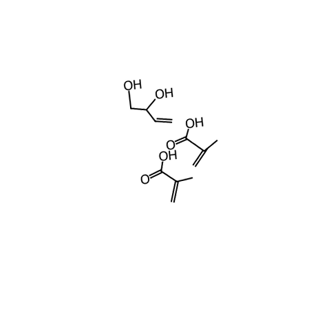 C=C(C)C(=O)O.C=C(C)C(=O)O.C=CC(O)CO